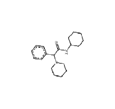 O=C(NC1CCCCC1)C(c1ccccc1)N1CCCCC1